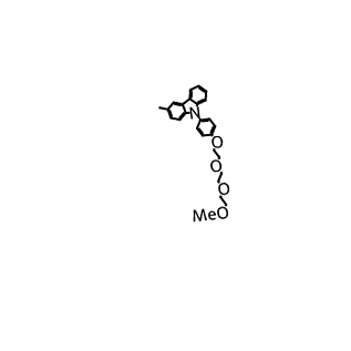 COCCOCCOCCOc1ccc(-n2c3ccccc3c3cc(C)ccc32)cc1